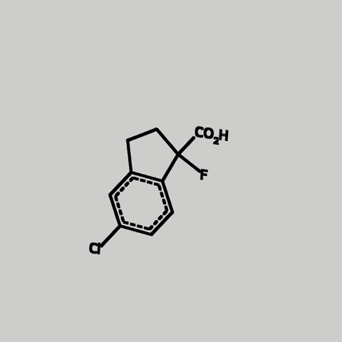 O=C(O)C1(F)CCc2cc(Cl)ccc21